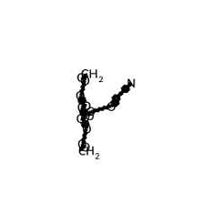 C=CC(=O)OCCCCCCOc1ccc(C(=O)Oc2ccc(OC(=O)c3ccc(OCCCCCCOC(=O)C=C)cc3)c(C(=O)OCCCCCCCCOc3ccc4cc(C#Cc5ccc(C#N)cc5)ccc4c3)c2)cc1